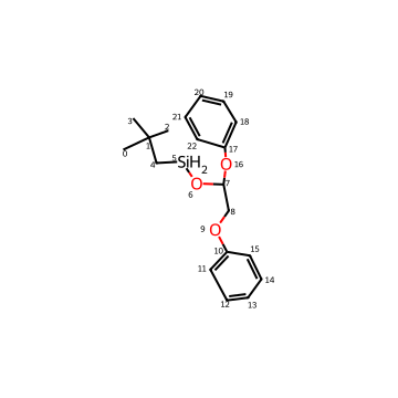 CC(C)(C)C[SiH2]OC(COc1ccccc1)Oc1ccccc1